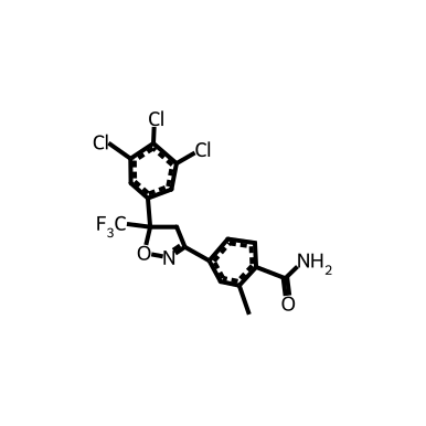 Cc1cc(C2=NOC(c3cc(Cl)c(Cl)c(Cl)c3)(C(F)(F)F)C2)ccc1C(N)=O